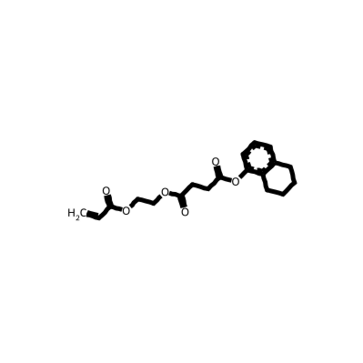 C=CC(=O)OCCOC(=O)CCC(=O)Oc1cccc2c1CCCC2